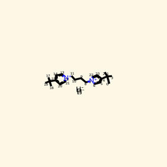 CC(C)(C)c1cc[n+](CCCC[n+]2ccc(C(C)(C)C)cc2)cc1.[H-].[H-]